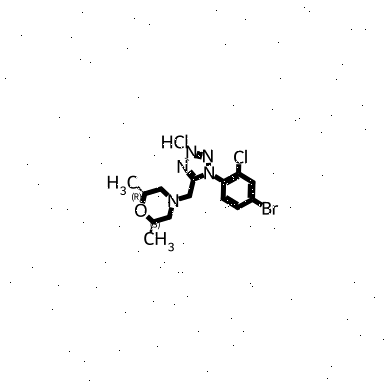 C[C@@H]1CN(Cc2nnnn2-c2ccc(Br)cc2Cl)C[C@H](C)O1.Cl